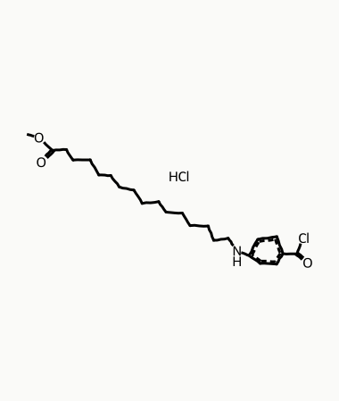 COC(=O)CCCCCCCCCCCCCCCNc1ccc(C(=O)Cl)cc1.Cl